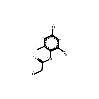 O=C(CCl)Nc1c(Cl)cc(Cl)cc1Cl